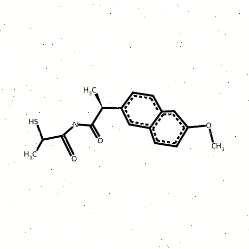 COc1ccc2cc([C@H](C)C(=O)[N]C(=O)C(C)S)ccc2c1